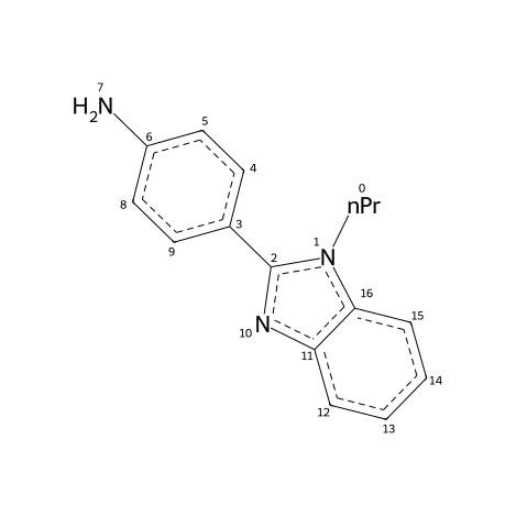 CCCn1c(-c2ccc(N)cc2)nc2ccccc21